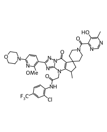 COc1nc(N2CCOCC2)ccc1-c1nc2n(CC(=O)Nc3ccc(C(F)(F)F)cc3Cl)c3c(c(=O)n2n1)C1(CCN(C(=O)c2ncnc(C)c2O)CC1)CC3C